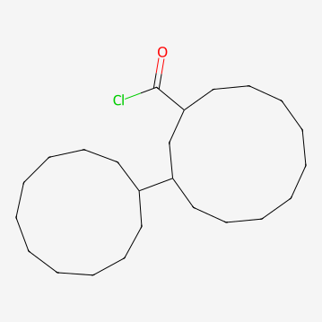 O=C(Cl)C1CCCCCCCCCC(C2CCCCCCCCCC2)C1